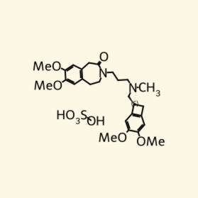 COc1cc2c(cc1OC)CC(=O)N(CCCN(C)C[C@H]1Cc3cc(OC)c(OC)cc31)CC2.O=S(=O)(O)O